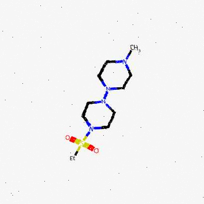 CCS(=O)(=O)N1CCN(N2CCN(C)CC2)CC1